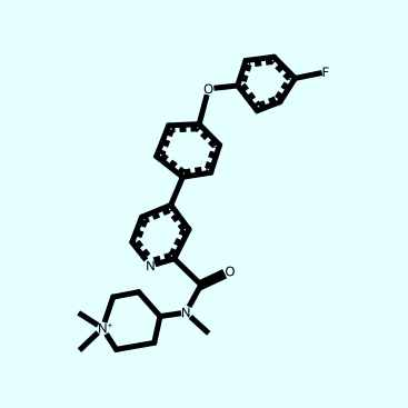 CN(C(=O)c1cc(-c2ccc(Oc3ccc(F)cc3)cc2)ccn1)C1CC[N+](C)(C)CC1